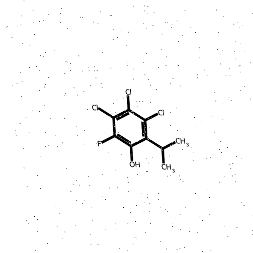 CC(C)c1c(O)c(F)c(Cl)c(Cl)c1Cl